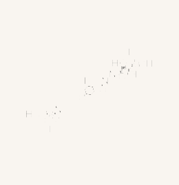 CC(C)OC(=O)N1CCC(CCCOc2ccc(CC(=O)N3CCN(C[C@H](O)[C@@H](O)[C@H](O)[C@H](O)CO)CC3)c(F)c2)CC1